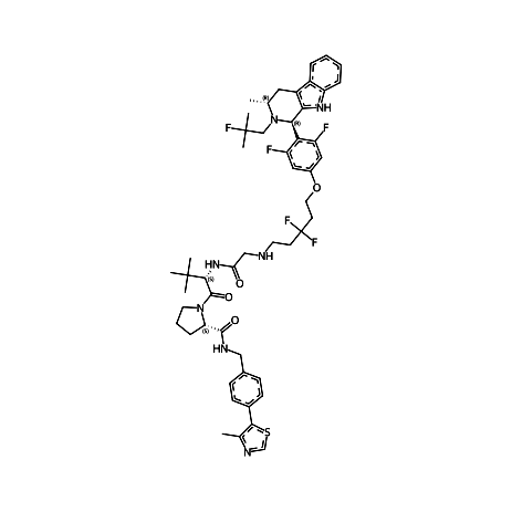 Cc1ncsc1-c1ccc(CNC(=O)[C@@H]2CCCN2C(=O)[C@@H](NC(=O)CNCCC(F)(F)CCOc2cc(F)c([C@@H]3c4[nH]c5ccccc5c4C[C@@H](C)N3CC(C)(C)F)c(F)c2)C(C)(C)C)cc1